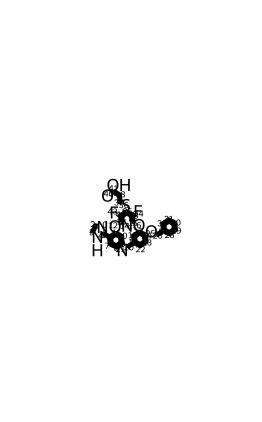 CN1CCNC1c1ccccc1Oc1nc(Oc2cc(C#N)ccc2OCc2ccccc2)c(F)c(SCCC(=O)O)c1F